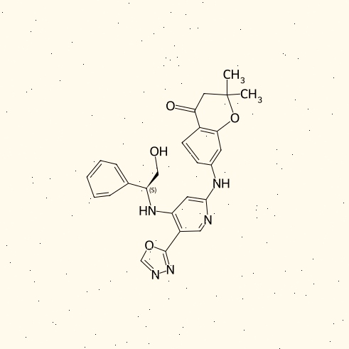 CC1(C)CC(=O)c2ccc(Nc3cc(N[C@H](CO)c4ccccc4)c(-c4nnco4)cn3)cc2O1